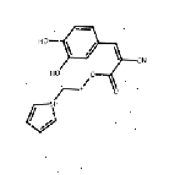 N#CC(=Cc1ccc(O)c(O)c1)C(=O)OCC[SH]1C=CC=C1